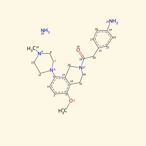 COc1ccc(N2CCN(C)CC2)c2c1CCN(C(=O)Cc1ccc(N)cc1)C2.N